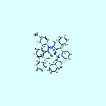 CC(C)(C)c1ccc(N2c3cc4sc5ccccc5c4cc3B3c4c2cc2ccccc2c4-c2cccc4c5sc6ccccc6c5n3c24)c(-c2ccccc2)c1